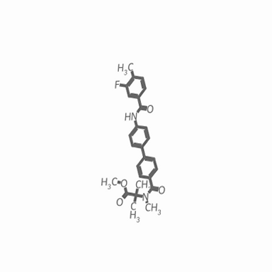 COC(=O)C(C)(C)N(C)C(=O)c1ccc(-c2ccc(NC(=O)c3ccc(C)c(F)c3)cc2)cc1